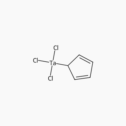 [Cl][Ta]([Cl])([Cl])[CH]1C=CC=C1